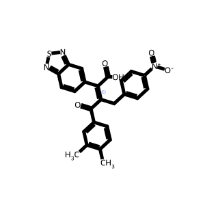 Cc1ccc(C(=O)/C(Cc2ccc([N+](=O)[O-])cc2)=C(/C(=O)O)c2ccc3nsnc3c2)cc1C